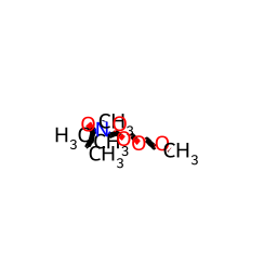 CCC(C)(C)C(=O)N(C)CC(=O)OCOCCOC